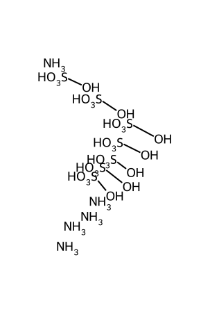 N.N.N.N.N.O=S(=O)(O)O.O=S(=O)(O)O.O=S(=O)(O)O.O=S(=O)(O)O.O=S(=O)(O)O.O=S(=O)(O)O.O=S(=O)(O)O